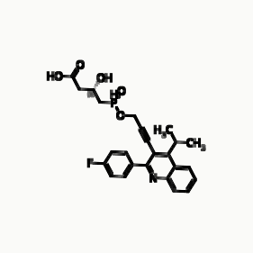 CC(C)c1c(C#CCO[PH](=O)C[C@@H](O)CC(=O)O)c(-c2ccc(F)cc2)nc2ccccc12